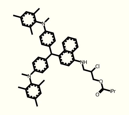 Cc1cc(C)c(N(C)c2ccc(C(c3ccc(N(C)c4c(C)cc(C)cc4C)cc3)c3ccc(NCC(Cl)COC(=O)C(C)C)c4ccccc34)cc2)c(C)c1